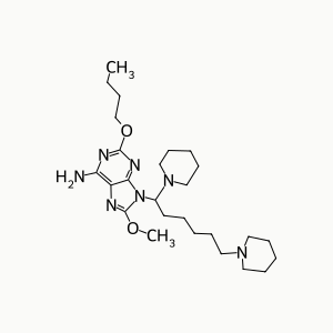 CCCCOc1nc(N)c2nc(OC)n(C(CCCCCN3CCCCC3)N3CCCCC3)c2n1